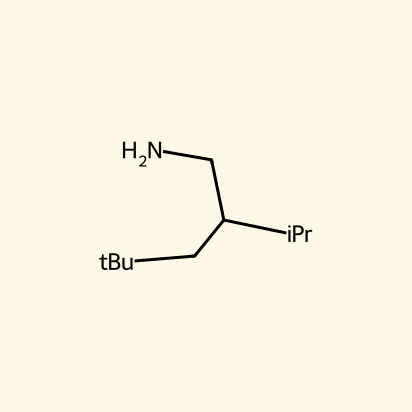 CC(C)C(CN)CC(C)(C)C